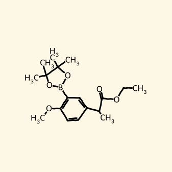 CCOC(=O)C(C)c1ccc(OC)c(B2OC(C)(C)C(C)(C)O2)c1